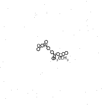 CC1(C)c2cc(N(c3ccccc3)c3ccc(-c4ccc(-n5c6ccccc6c6cc7oc8ccccc8c7cc65)cc4)cc3)ccc2-c2cc3ccccc3cc21